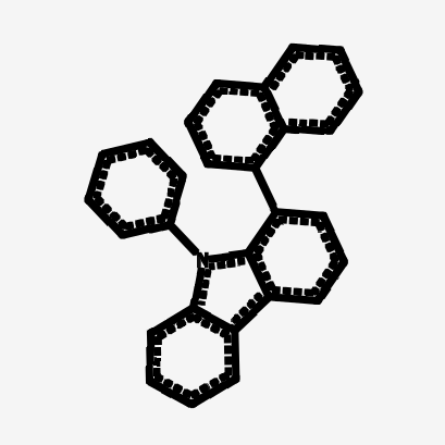 c1ccc(-n2c3ccccc3c3cccc(-c4cccc5ccccc45)c32)cc1